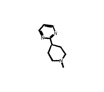 CN1CCC(c2n[c]ccn2)CC1